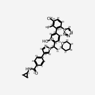 O=C(NC1CC1)c1ccc(-c2cnn(C(C[C@H]3CCCCO3)c3ccc(-c4c(-n5cnnn5)ccc(Cl)c4F)c[n+]3O)c2)cc1